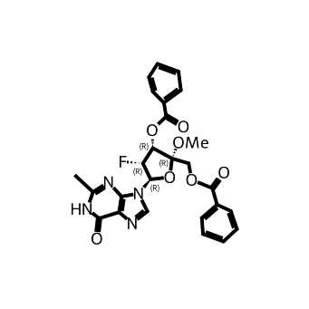 CO[C@]1(COC(=O)c2ccccc2)O[C@@H](n2cnc3c(=O)[nH]c(C)nc32)[C@H](F)[C@@H]1OC(=O)c1ccccc1